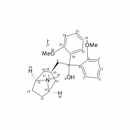 COc1ccccc1C(O)(C[C@H]1C[C@H]2CC[C@@H](C1)[N+]2(C)C)c1ccccc1OC.[I-]